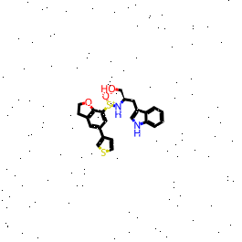 [O-][S+](N[C@@H](CO)Cc1c[nH]c2ccccc12)c1cc(-c2ccsc2)cc2c1OCC2